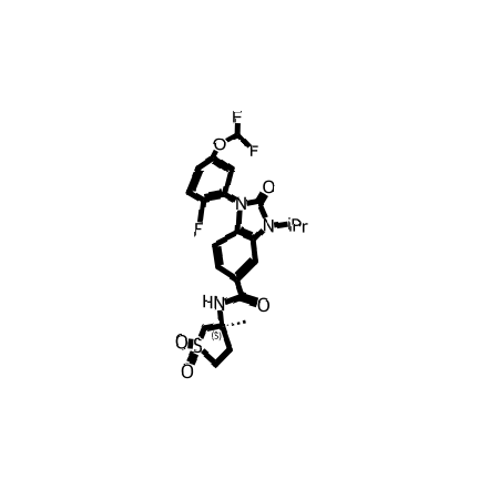 CC(C)n1c(=O)n(-c2cc(OC(F)F)ccc2F)c2ccc(C(=O)N[C@@]3(C)CCS(=O)(=O)C3)cc21